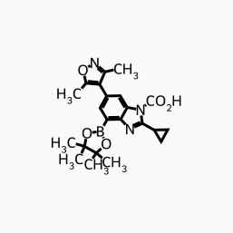 Cc1noc(C)c1-c1cc(B2OC(C)(C)C(C)(C)O2)c2nc(C3CC3)n(C(=O)O)c2c1